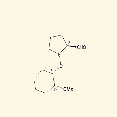 CO[C@@H]1CCCC[C@@H]1ON1CCC[C@H]1C=O